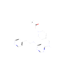 CN(CC1CCN(OC(=O)C(C)(C)C)CC1)c1cc(NCCc2ccncc2)ncn1